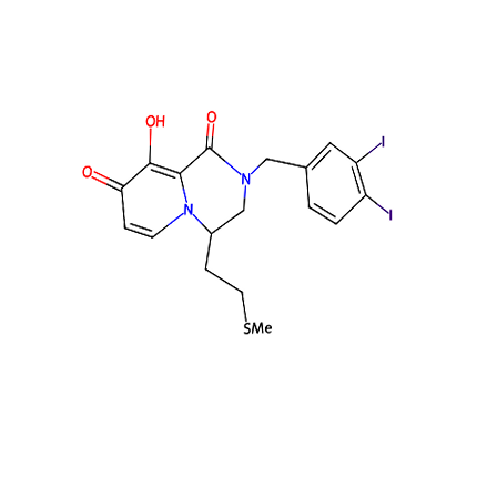 CSCCC1CN(Cc2ccc(I)c(I)c2)C(=O)c2c(O)c(=O)ccn21